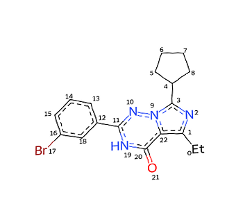 CCc1nc(C2CCCC2)n2nc(-c3cccc(Br)c3)[nH]c(=O)c12